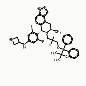 C[C@@H]1Cc2c(ccc3[nH]ncc23)[C@@H](c2c(F)cc(NC3CNC3)cc2F)N1CC(F)(F)CO[Si](c1ccccc1)(c1ccccc1)C(C)(C)C